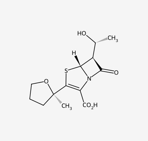 C[C@@H](O)[C@H]1C(=O)N2C(C(=O)O)=C([C@@]3(C)CCCO3)S[C@H]12